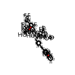 CC(C)(C(NC(=O)OC1COC1)C(=O)N[C@@H](Cc1ccc(C#Cc2cnc(N3CC4CCC(C3)N4C3COC3)nc2)cc1)[C@@H](O)CN(Cc1c(F)cc(-c2ccn(C(F)F)n2)cc1F)NC(=O)[C@@H](NC(=O)O)C(C)(C)C(F)(F)F)C(F)(F)F